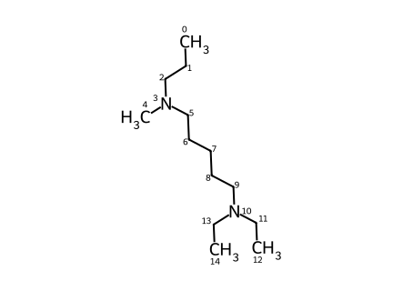 CCCN(C)CCCCCN(CC)CC